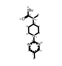 Cc1cnc(N2CCC(N(C)C(=O)C(C)(C)C)CC2)nc1